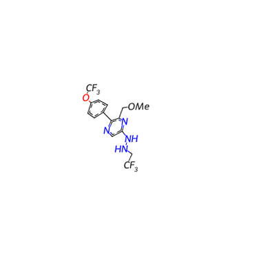 COCc1nc(NNCC(F)(F)F)cnc1-c1ccc(OC(F)(F)F)cc1